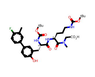 Cc1cc(-c2ccc(O)c(C[C@H](NC(=O)OC(C)(C)C)C(=O)N[C@@H](CCCNC(=O)OC(C)(C)C)C(=O)N(C)CC(=O)O)c2)ccc1F